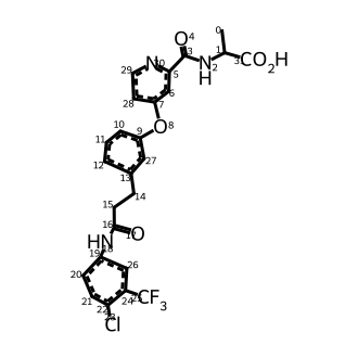 CC(NC(=O)c1cc(Oc2cccc(CCC(=O)Nc3ccc(Cl)c(C(F)(F)F)c3)c2)ccn1)C(=O)O